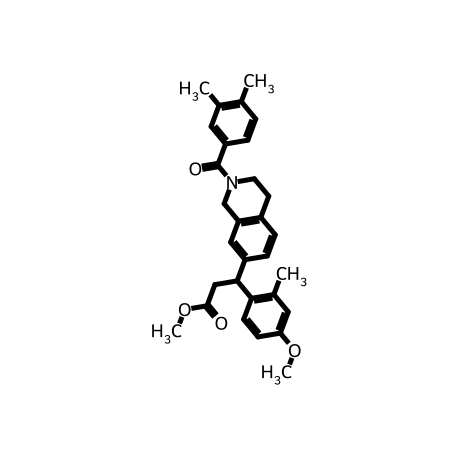 COC(=O)CC(c1ccc2c(c1)CN(C(=O)c1ccc(C)c(C)c1)CC2)c1ccc(OC)cc1C